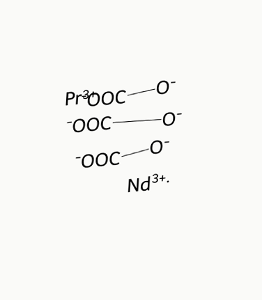 O=C([O-])[O-].O=C([O-])[O-].O=C([O-])[O-].[Nd+3].[Pr+3]